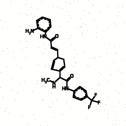 CNC(C(=O)Nc1ccc(C(F)(F)F)cc1)C1=CCC(/C=C/C(=O)Nc2ccccc2N)C=C1